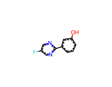 Oc1cccc(-c2ncc(F)cn2)c1